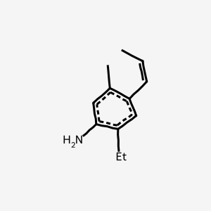 C/C=C\c1cc(CC)c(N)cc1C